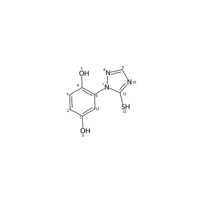 Oc1ccc(O)c(-n2ncnc2S)c1